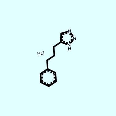 Cl.c1ccc(CCCc2cnn[nH]2)cc1